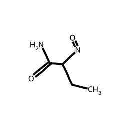 CCC(N=O)C(N)=O